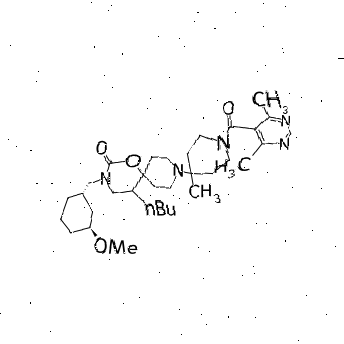 CCCCC1CN(C[C@H]2CCC[C@H](OC)C2)C(=O)OC12CCN(C1(C)CCN(C(=O)c3c(C)ncnc3C)CC1)CC2